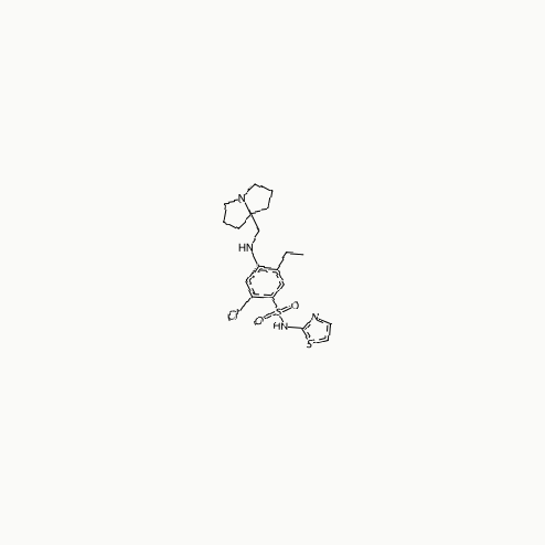 CCc1cc(S(=O)(=O)Nc2nccs2)c(Cl)cc1NCC12CCCN1CCC2